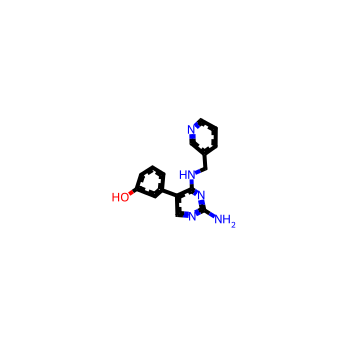 Nc1ncc(-c2cccc(O)c2)c(NCc2cccnc2)n1